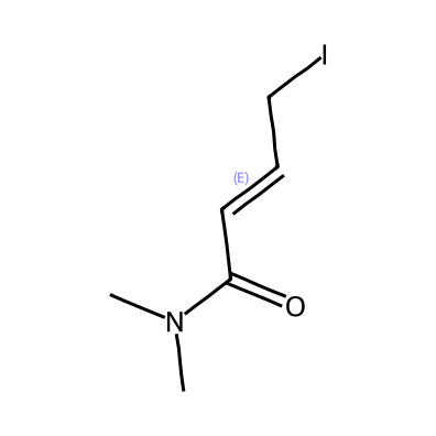 CN(C)C(=O)/C=C/CI